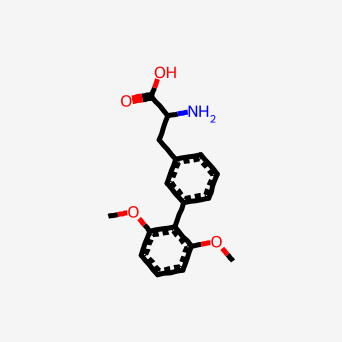 COc1cccc(OC)c1-c1cccc(CC(N)C(=O)O)c1